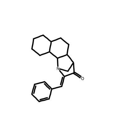 O=C1C(=Cc2ccccc2)N2CC1C1CCC3CCCCC3C12